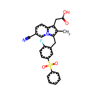 Cc1c(CC(=O)O)c2ccc(C#N)cn2c1Cc1cc(S(=O)(=O)c2ccccc2)ccc1F